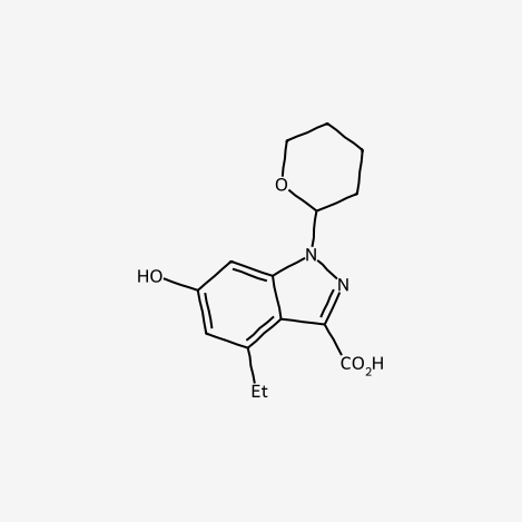 CCc1cc(O)cc2c1c(C(=O)O)nn2C1CCCCO1